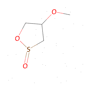 COC1COS(=O)C1